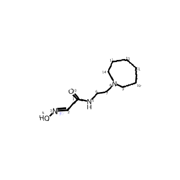 O=C(/C=N/O)NCCN1CCCCCC1